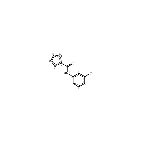 O=C(Nc1cccc(Cl)c1)c1ncco1